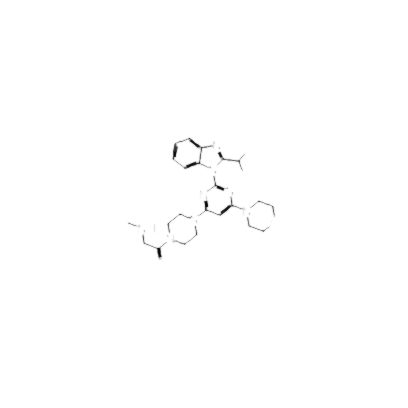 CN[C@@H](C)C(=O)N1CCN(c2cc(N3CCOCC3)nc(-n3c(C(F)F)nc4ccccc43)n2)CC1